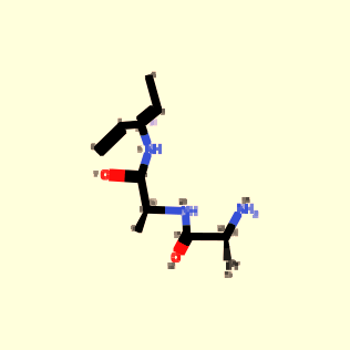 C=C/C(=C\C)NC(=O)[C@H](C)NC(=O)[C@@H](N)C(C)C